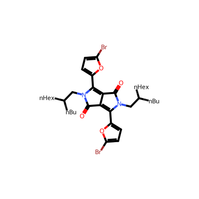 CCCCCCC(CCCC)CN1C(=O)C2=C(c3ccc(Br)o3)N(CC(CCCC)CCCCCC)C(=O)C2=C1c1ccc(Br)o1